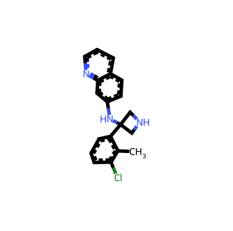 Cc1c(Cl)cccc1C1(Nc2ccc3cccnc3c2)CNC1